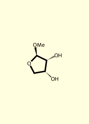 CO[C@@H]1OC[C@@H](O)[C@H]1O